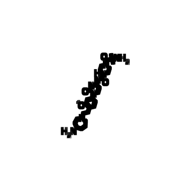 COc1cc(-n2ccc(NC(=O)N3CCN(C(=O)C(C)(C)N)CC3)nc2=O)ccc1CCN1CCCC(N)CC1